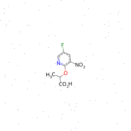 CC(Oc1ncc(F)cc1[N+](=O)[O-])C(=O)O